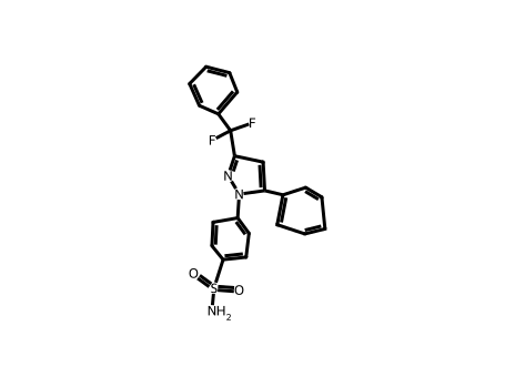 NS(=O)(=O)c1ccc(-n2nc(C(F)(F)c3ccccc3)cc2-c2ccccc2)cc1